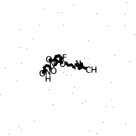 C#Cc1cnn(CCCCOc2c(F)ccc3c2CN(C2CCC(=O)NC2=O)C3=O)c1